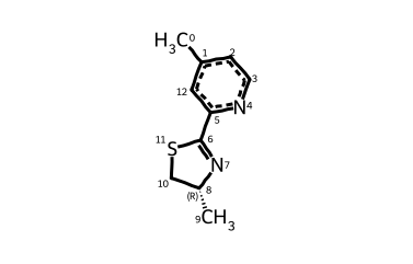 Cc1ccnc(C2=N[C@H](C)CS2)c1